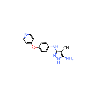 N#Cc1c(Nc2ccc(Oc3ccncc3)cc2)n[nH]c1N